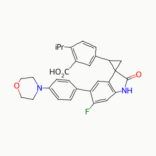 CC(C)c1ccc(C2CC23C(=O)Nc2cc(F)c(-c4ccc(N5CCOCC5)cc4)cc23)cc1C(=O)O